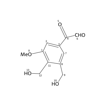 COc1cc(C(=O)C=O)cc(CO)c1CO